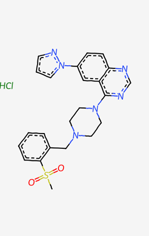 CS(=O)(=O)c1ccccc1CN1CCN(c2ncnc3ccc(-n4cccn4)cc23)CC1.Cl